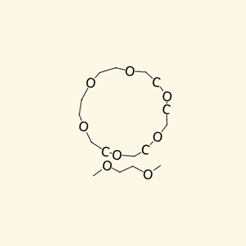 C1COCCOCCOCCOCCOCCO1.COCCOC